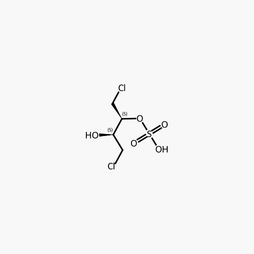 O=S(=O)(O)O[C@H](CCl)[C@H](O)CCl